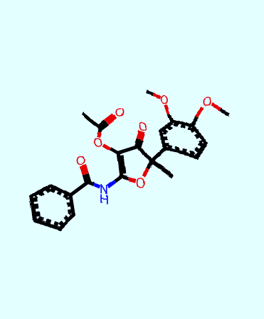 COc1ccc(C2(C)OC(NC(=O)c3ccccc3)=C(OC(C)=O)C2=O)cc1OC